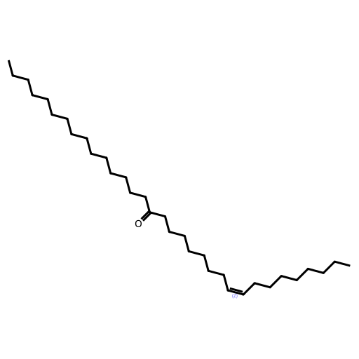 CCCCCCCC/C=C\CCCCCCCC(=O)CCCCCCCCCCCCCCC